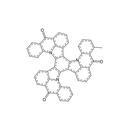 Cc1cccc2c1c(=O)c1cccc3c4c5c(c6cccc7c(=O)c8ccccc8n5c76)c5c(c6cccc7c(=O)c8ccccc8n5c76)c4n2c13